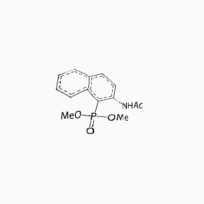 COP(=O)(OC)c1c(NC(C)=O)ccc2ccccc12